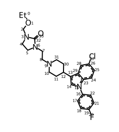 CCOCN1CCN(CCN2CCC(c3cn(-c4ccc(F)cc4)c4ccc(Cl)cc34)CC2)C1=O